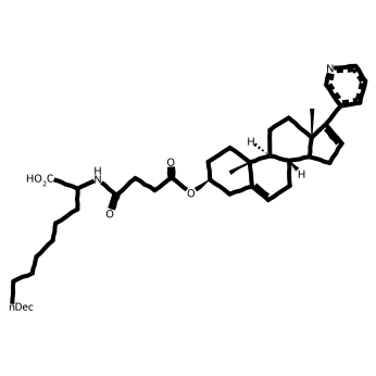 CCCCCCCCCCCCCCCCC(NC(=O)CCC(=O)O[C@H]1CC[C@@]2(C)C(=CC[C@H]3C4CC=C(c5cccnc5)[C@@]4(C)CC[C@@H]32)C1)C(=O)O